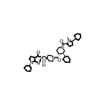 Cn1c(C(=O)N2CC[C@@H](C(=O)N3CCC(O)(Cn4cnc5c(ccn5-c5ccccc5)c4=O)CC3)[C@H](c3ccccc3)C2)ccc1-c1ccccc1